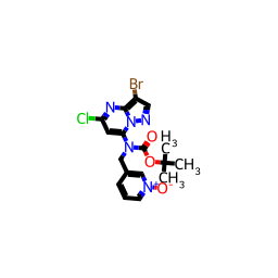 CC(C)(C)OC(=O)N(Cc1ccc[n+]([O-])c1)c1cc(Cl)nc2c(Br)cnn12